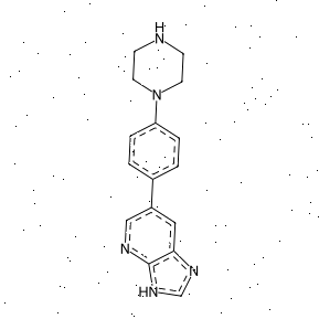 c1nc2cc(-c3ccc(N4CCNCC4)cc3)cnc2[nH]1